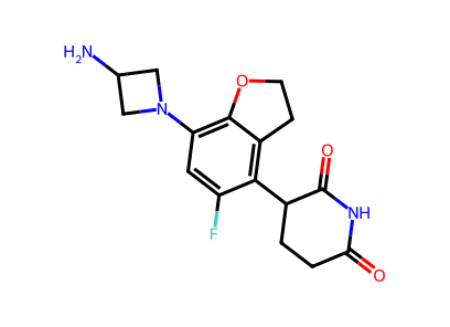 NC1CN(c2cc(F)c(C3CCC(=O)NC3=O)c3c2OCC3)C1